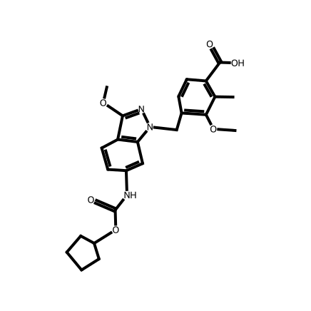 COc1c(Cn2nc(OC)c3ccc(NC(=O)OC4CCCC4)cc32)ccc(C(=O)O)c1C